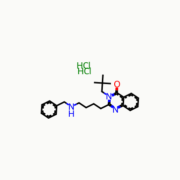 CC(C)(C)Cn1c(CCCCNCc2ccccc2)nc2ccccc2c1=O.Cl.Cl